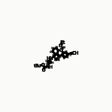 C#Cc1ccc(-c2nnc(NC3CC(NC(=O)OC(C)(C)C)C3)c3c2CCCC3)c(OCOCC)c1